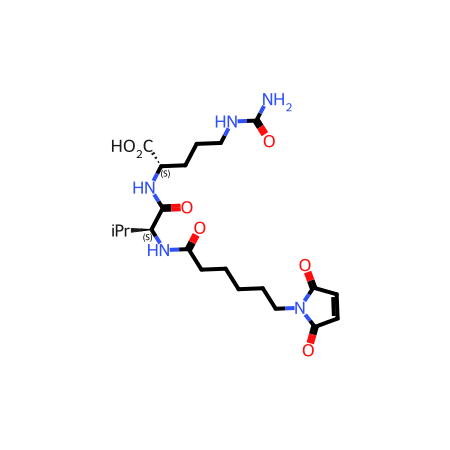 CC(C)[C@H](NC(=O)CCCCCN1C(=O)C=CC1=O)C(=O)N[C@@H](CCCNC(N)=O)C(=O)O